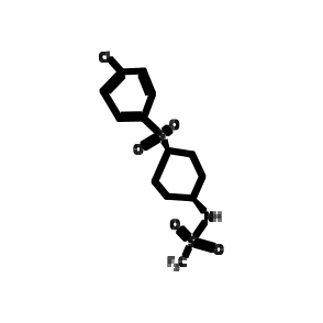 O=S(=O)(N[C@H]1CC[C@@H](S(=O)(=O)c2ccc(Cl)cc2)CC1)C(F)(F)F